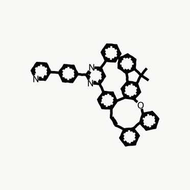 CC1(C)c2ccccc2-c2cc3c(cc21)Oc1ccccc1-c1ccccc1/C=C\c1ccc(-c2cc(-c4ccccc4)nc(-c4ccc(-c5cccnc5)cc4)n2)cc1-3